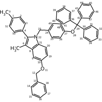 Cc1ccc(-c2c(C)c3cc(OCc4ccccc4)ccc3n2Cc2ccc(OC(c3ccccc3)(c3ccccc3)c3ccccc3)cc2)cc1